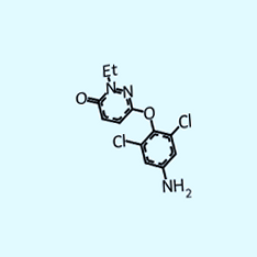 CCn1nc(Oc2c(Cl)cc(N)cc2Cl)ccc1=O